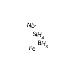 B.[Fe].[Nb].[SiH4]